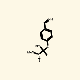 CCCC(C)(Oc1ccc(C=N)cc1)[PH](=S)NC